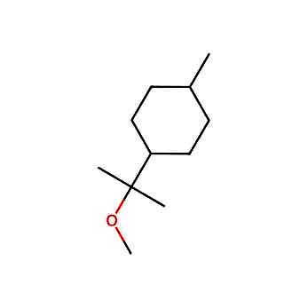 COC(C)(C)C1CCC(C)CC1